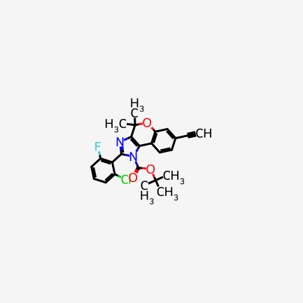 C#Cc1ccc2c(c1)OC(C)(C)c1nc(-c3c(F)cccc3Cl)n(C(=O)OC(C)(C)C)c1-2